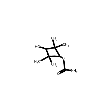 CC1(C)C(O)C(C)(C)C1OC(N)=O